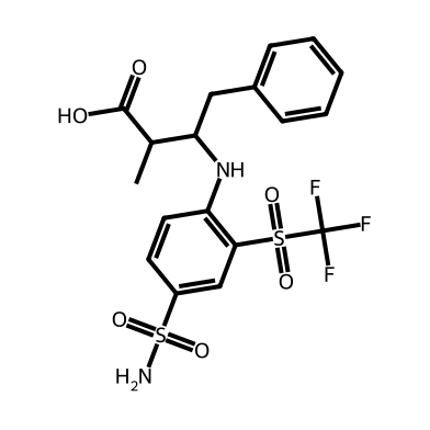 CC(C(=O)O)C(Cc1ccccc1)Nc1ccc(S(N)(=O)=O)cc1S(=O)(=O)C(F)(F)F